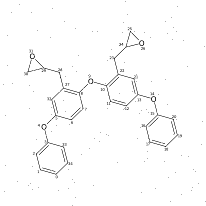 c1ccc(Oc2ccc(Oc3ccc(Oc4ccccc4)cc3CC3CO3)c(CC3CO3)c2)cc1